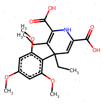 CCC1=C(C(=O)O)NC(C(=O)O)=CC1(CC)c1c(OC)cc(OC)cc1OC